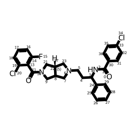 O=C(NC(CCN1CC2CN(C(=O)c3c(F)cccc3Cl)C[C@@H]2C1)c1ccccc1)c1ccc(Cl)cc1